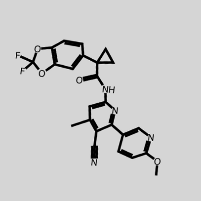 COc1ccc(-c2nc(NC(=O)C3(c4ccc5c(c4)OC(F)(F)O5)CC3)cc(C)c2C#N)cn1